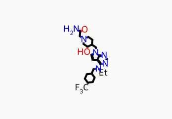 CCN(CC1CCC(C(F)(F)F)CC1)c1ncnc2c1ccn2CC1CCN(CC(N)=O)CC1O